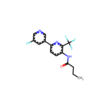 CCCC(=O)Nc1ccc(-c2cncc(F)c2)nc1C(F)(F)F